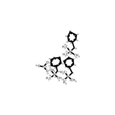 C[N+](C)(C)Cc1ccccc1.C[N+](C)(C)Cc1ccccc1.C[N+](C)(C)Cc1ccccc1.[O-]P([O-])[O-]